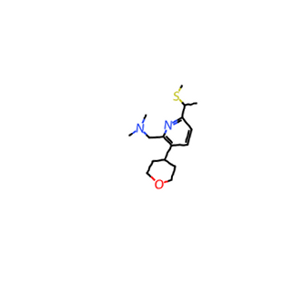 CSC(C)c1ccc(C2CCOCC2)c(CN(C)C)n1